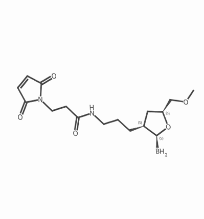 B[C@@H]1O[C@H](COC)C[C@@H]1CCCNC(=O)CCN1C(=O)C=CC1=O